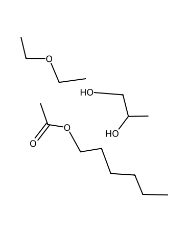 CC(O)CO.CCCCCCOC(C)=O.CCOCC